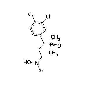 CC(=O)N(O)CCC(c1ccc(Cl)c(Cl)c1)P(C)(C)=O